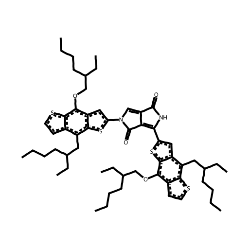 CCCCC(CC)COc1c2cc(N3C=C4C(=O)NC(c5cc6c(CC(CC)CCCC)c7sccc7c(OCC(CC)CCCC)c6s5)=C4C3=O)sc2c(CC(CC)CCCC)c2ccsc12